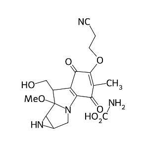 COC12C(CO)C3=C(C(=O)C(C)=C(OCCC#N)C3=O)N1CC1NC12.NC(=O)O